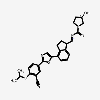 CC(C)Oc1ccc(-c2ncc(-c3cccc4c3CCC4/C=N/C(=O)N3CC[C@@H](O)C3)s2)cc1C#N